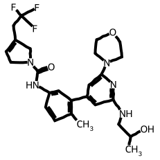 Cc1ccc(NC(=O)N2CC=C(CC(F)(F)F)C2)cc1-c1cc(NCC(C)O)nc(N2CCOCC2)c1